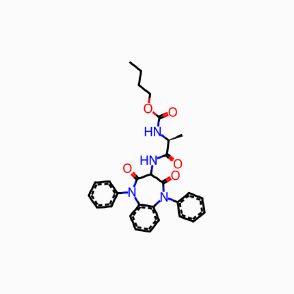 CCCCOC(=O)N[C@@H](C)C(=O)NC1C(=O)N(c2ccccc2)c2ccccc2N(c2ccccc2)C1=O